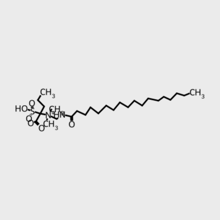 CCCCCCCCCCCCCCCCCC(=O)NC[N+](C)(C)C(CCC)(C(=O)[O-])S(=O)(=O)O